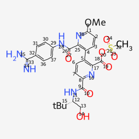 COc1ccc(-c2ccc(C(=O)N[C@H](CO)C(C)(C)C)nc2C(=O)OS(C)(=O)=O)c(C(=O)Nc2ccc(C(=N)N)cc2)n1